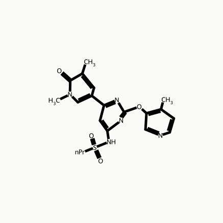 CCCS(=O)(=O)Nc1cc(-c2cc(C)c(=O)n(C)c2)nc(Oc2cnccc2C)n1